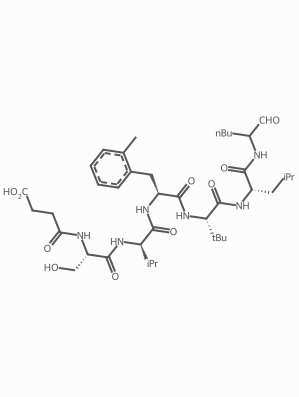 CCCCC(C=O)NC(=O)[C@H](CC(C)C)NC(=O)[C@@H](NC(=O)[C@H](Cc1ccccc1C)NC(=O)[C@H](NC(=O)[C@H](CO)NC(=O)CCC(=O)O)C(C)C)C(C)(C)C